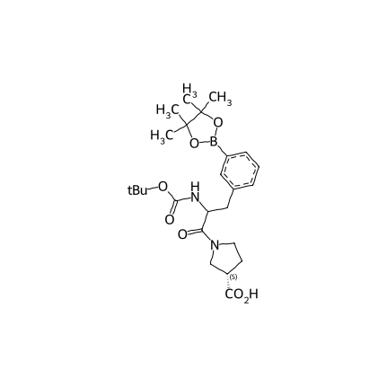 CC(C)(C)OC(=O)NC(Cc1cccc(B2OC(C)(C)C(C)(C)O2)c1)C(=O)N1CC[C@H](C(=O)O)C1